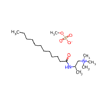 CCCCCCCCCCCC(=O)NC(C)C[N+](C)(C)C.COS(=O)(=O)[O-]